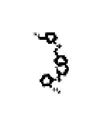 Nc1ccccc1NC(=O)/C=C\c1ccc(CNc2cccc(CO)c2)cc1